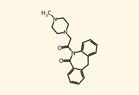 CN1CCN(CC(=O)N2C(=O)c3ccccc3Cc3ccccc32)CC1